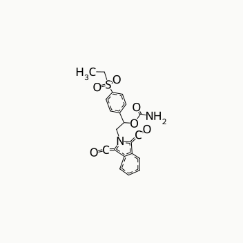 CCS(=O)(=O)c1ccc(C(Cn2c(=C=O)c3ccccc3c2=C=O)OC(N)=O)cc1